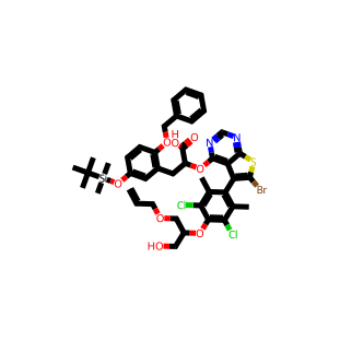 C=CCOCC(CO)Oc1c(Cl)c(C)c(-c2c(Br)sc3ncnc(OC(Cc4cc(O[Si](C)(C)C(C)(C)C)ccc4OCc4ccccc4)C(=O)O)c23)c(C)c1Cl